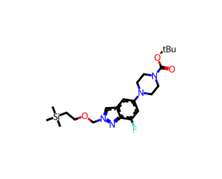 CC(C)(C)OC(=O)N1CCN(c2cc(F)c3nn(COCC[Si](C)(C)C)cc3c2)CC1